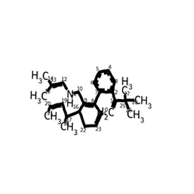 C=C(c1ccccc1C1=C(CNC=C(C)C)C(C(C)C=CC)CC=C1)C(C)(C)C